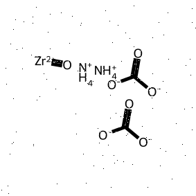 O=C([O-])[O-].O=C([O-])[O-].[NH4+].[NH4+].[O]=[Zr+2]